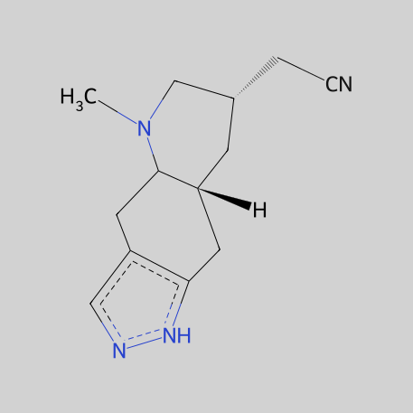 CN1C[C@H](CC#N)C[C@@H]2Cc3[nH]ncc3CC21